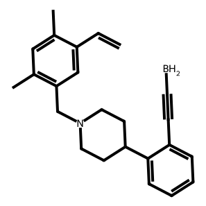 BC#Cc1ccccc1C1CCN(Cc2cc(C=C)c(C)cc2C)CC1